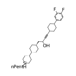 CCCCC[Si@H]1CC[C@H]([C@H]2CC[C@H](CC(O)C#CC3CCC(c4ccc(F)c(F)c4)CC3)CC2)CC1